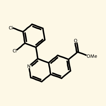 COC(=O)c1ccc2ccnc(-c3cccc(Cl)c3Cl)c2c1